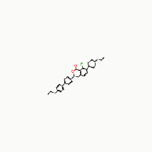 CCCc1ccc(-c2ccc(C3Cc4ccc(C5CCC(CCC)CC5)c(F)c4C(=O)O3)cc2)cc1